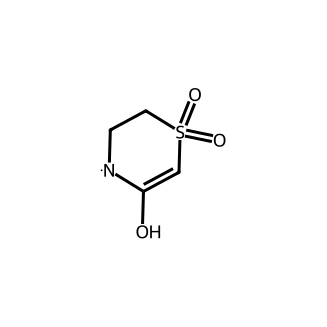 O=S1(=O)C=C(O)[N]CC1